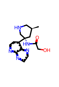 C[C@@H]1CNC[C@](NC(=O)CO)(c2ccnc3nccnc23)C1